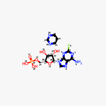 Nc1nc(F)nc2c1ncn2[C@@H]1O[C@H](COP(=O)(O)O)[C@@H](O)[C@@H]1O.c1cncnc1